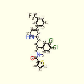 CN(CC(CCC1CC(c2cccc(C(F)(F)F)c2)=CCN1)c1ccc(Cl)c(Cl)c1)C(=O)c1cccs1